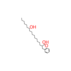 CCCCCCC(O)CCCCCCCCCC(Cc1ccccc1)C(=O)O